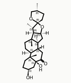 C[C@@H]1CC[C@@]2(OC1)O[C@H]1C[C@H]3[C@@H]4CC(=O)[C@]5(O)C[C@@H](O)CC[C@]5(C)[C@H]4CC[C@]3(C)[C@H]1[C@@H]2C